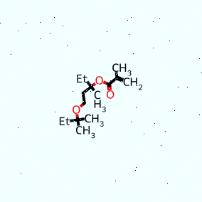 C=C(C)C(=O)OC(C)(CC)CCOC(C)(C)CC